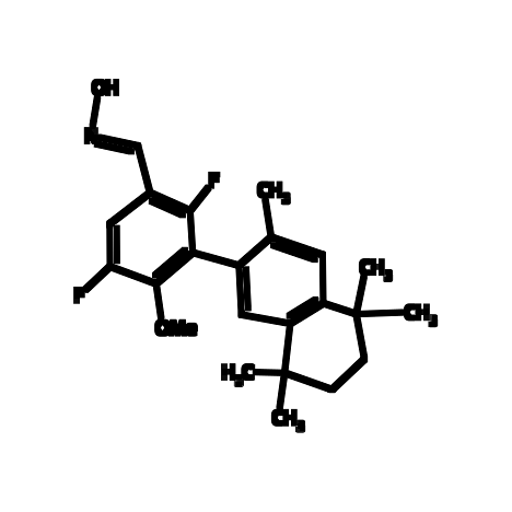 COc1c(F)cc(/C=N/O)c(F)c1-c1cc2c(cc1C)C(C)(C)CCC2(C)C